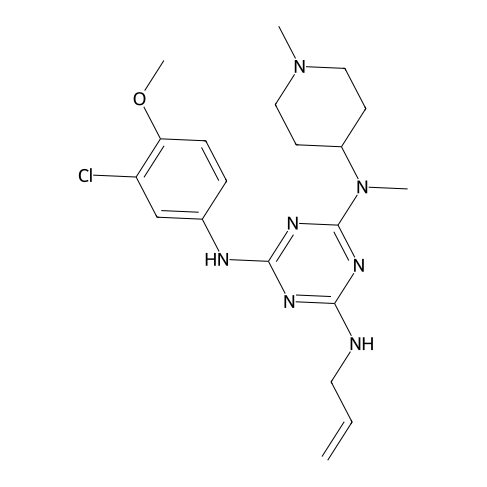 C=CCNc1nc(Nc2ccc(OC)c(Cl)c2)nc(N(C)C2CCN(C)CC2)n1